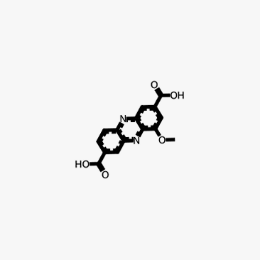 COc1cc(C(=O)O)cc2nc3ccc(C(=O)O)cc3nc12